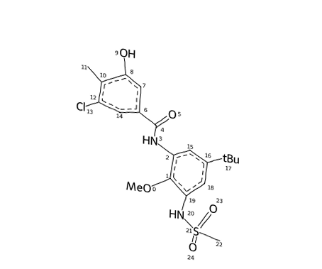 COc1c(NC(=O)c2cc(O)c(C)c(Cl)c2)cc(C(C)(C)C)cc1NS(C)(=O)=O